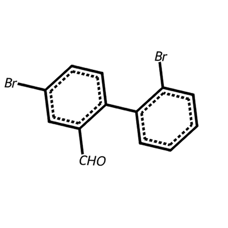 O=Cc1cc(Br)ccc1-c1ccccc1Br